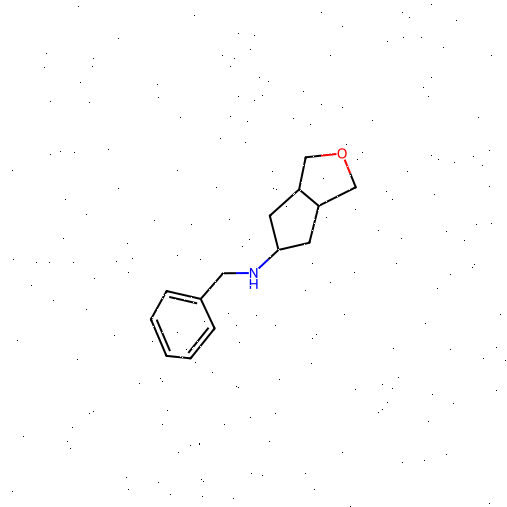 c1ccc(CNC2CC3COCC3C2)cc1